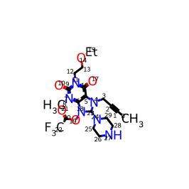 CC#CCN1c2c(n(C)c(=O)n(CCOCC)c2=O)N(OC(=O)C(F)(F)F)C1N1CCNCC1